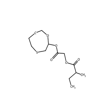 CCC(C)C(=O)OCC(=O)OC1CSCCCCO1